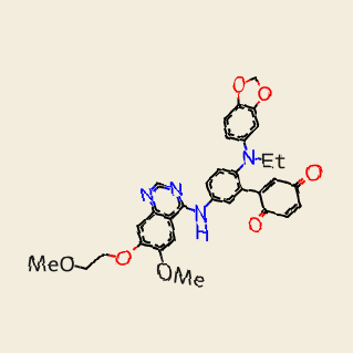 CCN(c1ccc2c(c1)OCO2)c1ccc(Nc2ncnc3cc(OCCOC)c(OC)cc23)cc1C1=CC(=O)C=CC1=O